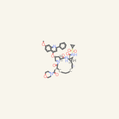 COc1ccc2c(O[C@@H]3C[C@H]4C(=O)N[C@]5(C(=O)NS(=O)(=O)C6CC6)C[C@H]5/C=C\CCCCC[C@H](CC(=O)N5CCOCC5)C(=O)N4C3)cc(-c3ccccc3)nc2c1